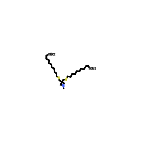 CCCCCCCC/C=C\CCCCCCCCSCC1(CSCCCCCCCC/C=C\CCCCCCCC)CN(C)C1